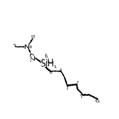 CCCCCC[SiH2]ON(C)C